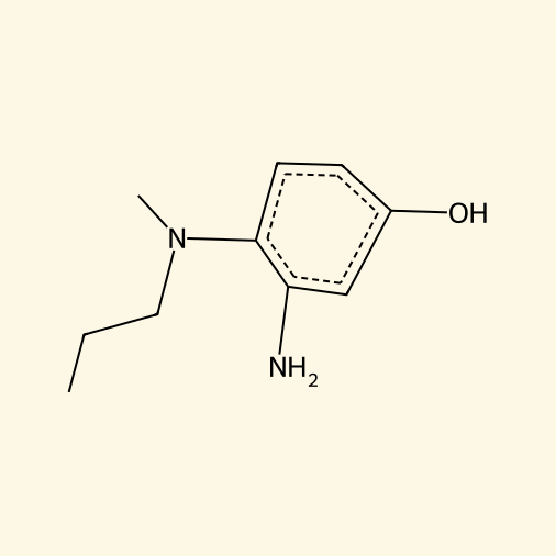 CCCN(C)c1ccc(O)cc1N